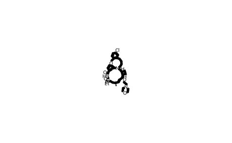 CC[C@@H]1C[C@H](C)/C=C/[C@H](OCCN2CCOCC2)[C@@H]2CC[C@H]2CN2CCCCc3cc(Cl)ccc3COc3ccc(cc32)C(=O)NS1(=O)=O